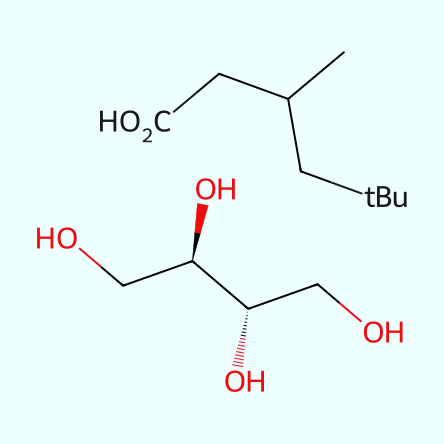 CC(CC(=O)O)CC(C)(C)C.OC[C@@H](O)[C@@H](O)CO